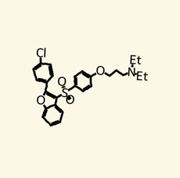 CCN(CC)CCCOc1ccc(S(=O)(=O)c2c(-c3ccc(Cl)cc3)oc3ccccc23)cc1